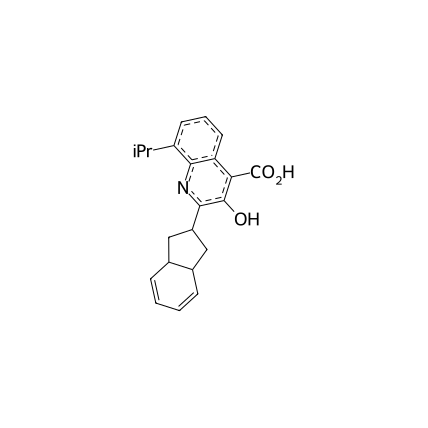 CC(C)c1cccc2c(C(=O)O)c(O)c(C3CC4C=CC=CC4C3)nc12